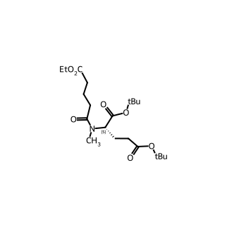 CCOC(=O)CCCC(=O)N(C)[C@@H](CCC(=O)OC(C)(C)C)C(=O)OC(C)(C)C